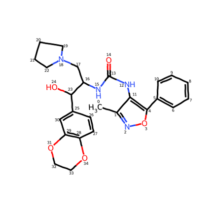 Cc1noc(-c2ccccc2)c1NC(=O)NC(CN1CCCC1)C(O)c1ccc2c(c1)OCCO2